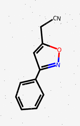 N#CCc1cc(-c2ccccc2)no1